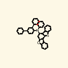 c1ccc(-c2ccc(N(c3ccccc3)c3cc4oc5ccccc5c4c4sc5ccccc5c34)c(-c3ccccc3)c2)cc1